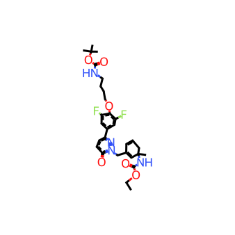 CCOC(=O)NC1(C)C=C(Cn2nc(-c3cc(F)c(OCCCCNC(=O)OC(C)(C)C)c(F)c3)ccc2=O)C=CC1